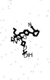 CCCc1c(Cc2ccc(-c3ccccc3C#N)cc2)c(=O)n([C@H]2C[C@@H](OCC(C)(C)O)C2)c2ncnn12